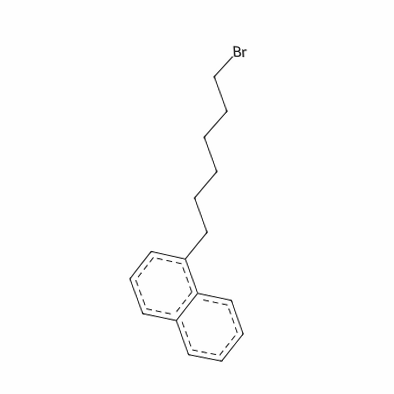 BrCCCCCCc1cccc2ccccc12